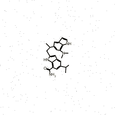 CC(C)c1cc(C(N)=O)c2[nH]c(CC(C)c3cc(N(C)C)c4[nH]ccc4c3)cc2c1